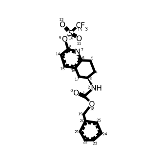 O=C(N[C@@H]1CCc2nc(OS(=O)(=O)C(F)(F)F)ccc2C1)OCc1ccccc1